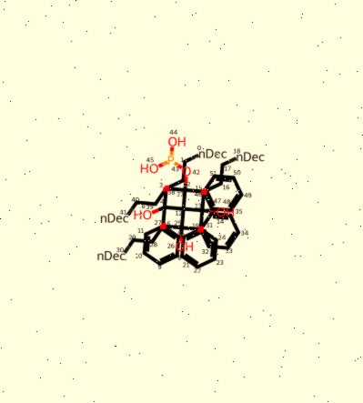 CCCCCCCCCCCCCC(O)(c1ccccc1)C(C(O)(CCCCCCCCCCCCC)c1ccccc1)(C(O)(CCCCCCCCCCCCC)c1ccccc1)C(CCCCCCCCCCCCC)(OP(O)O)c1ccccc1